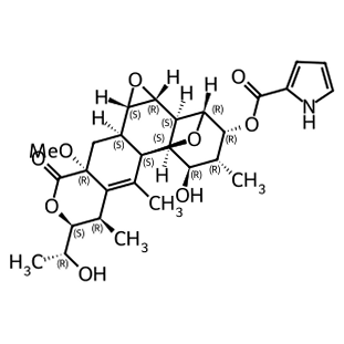 CO[C@]12C[C@H]3[C@@H]4O[C@@H]4[C@H]4[C@H]5O[C@]3(C(C)=C1[C@@H](C)[C@@H]([C@@H](C)O)OC2=O)[C@@H]4[C@H](O)[C@@H](C)[C@H]5OC(=O)c1ccc[nH]1